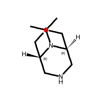 CC(C)N1[C@@H]2CNC[C@@H]1COC2